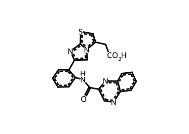 O=C(O)Cc1csc2nc(-c3ccccc3NC(=O)c3cnc4ccccc4n3)cn12